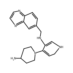 NC1CCN(C2=CCNC=C2NCc2ccc3nccnc3c2)CC1